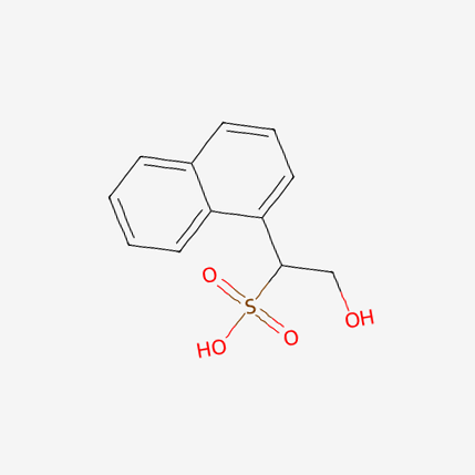 O=S(=O)(O)C(CO)c1cccc2ccccc12